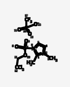 Cc1n(C)cc[n+]1S(=O)(=O)OCC(Cl)(Cl)Cl.O=S(=O)([O-])C(F)(F)F